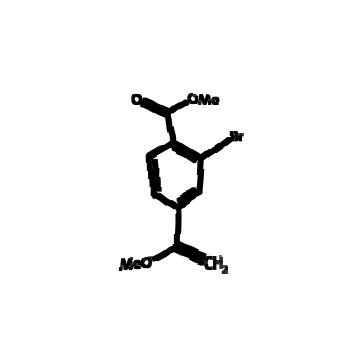 C=C(OC)c1ccc(C(=O)OC)c(Br)c1